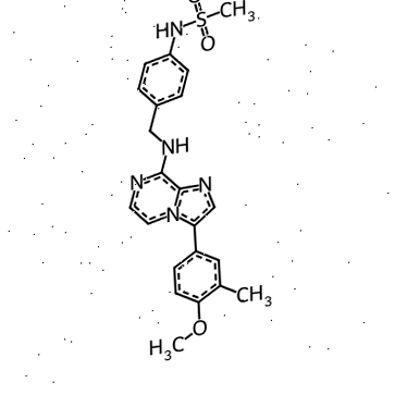 COc1ccc(-c2cnc3c(NCc4ccc(NS(C)(=O)=O)cc4)nccn23)cc1C